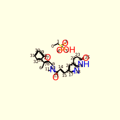 CCS(=O)(=O)O.Cc1c(CN(C)C(=O)C=Cc2cnc3c(c2)CCC(=O)N3)oc2ccccc12